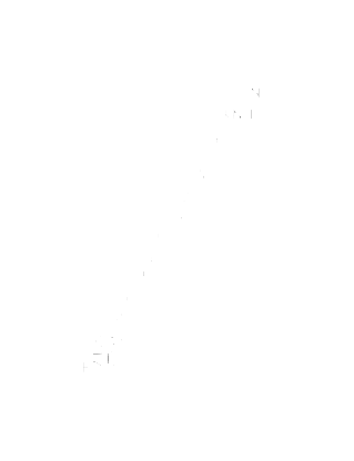 O=C(CCOCCOCCOCCOCCOCCOCCOCCOCCOCCOCCC(=O)Oc1c(F)c(F)cc(F)c1F)NCC1CNC1